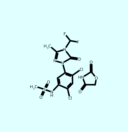 Cc1nn(-c2cc(NS(C)(=O)=O)c(Cl)cc2Cl)c(=O)n1C(F)F.O=C1COC(=O)N1